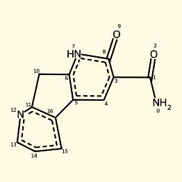 NC(=O)c1cc2c([nH]c1=O)Cc1ncccc1-2